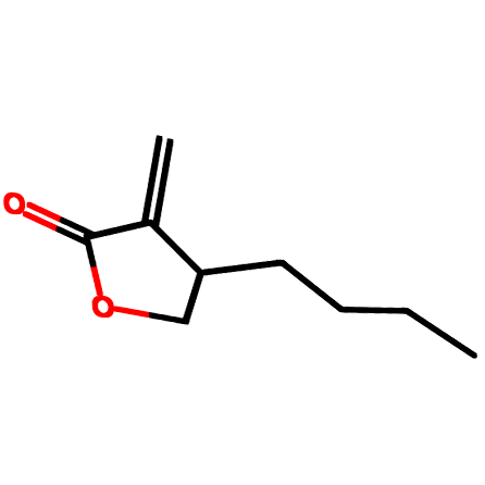 C=C1C(=O)OCC1CCCC